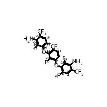 Nc1c(C(F)(F)F)cc(F)c(Oc2ccc(C(F)(F)F)c(Oc3c(F)cc(C(F)(F)F)c(N)c3F)c2F)c1F